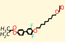 C=C(C)C(=O)Oc1ccc(-c2cc(F)c(OCCCCCCCCCCOCC3CO3)c(F)c2)cc1